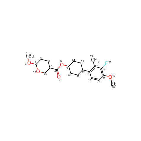 CCCCOC1CCC(C(=O)OC2CCC(c3ccc(OCC)c(F)c3C(F)(F)F)CC2)CO1